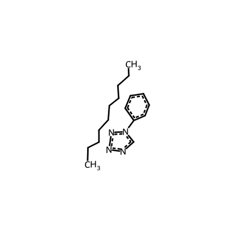 CCCCCCCCCC.c1ccc(-n2cnnn2)cc1